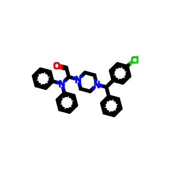 O=CC(N1CCN(C(c2ccccc2)c2ccc(Cl)cc2)CC1)N(c1ccccc1)c1ccccc1